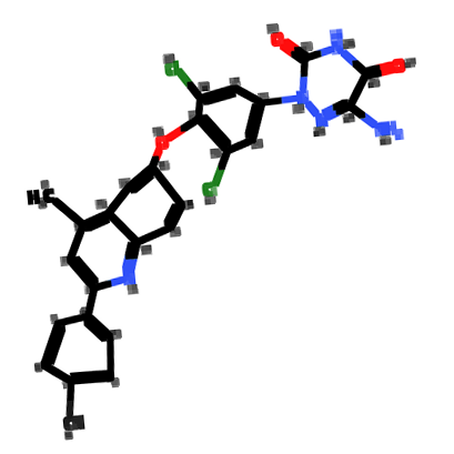 Cc1cc(-c2ccc(C#N)cc2)nc2ccc(Oc3c(Cl)cc(-n4nc(N)c(=O)[nH]c4=O)cc3Cl)cc12